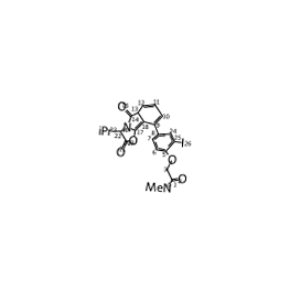 CNC(=O)COc1ccc(C2=CC=CC3C(=O)N4C(=C23)OC(=O)C4C(C)C)cc1I